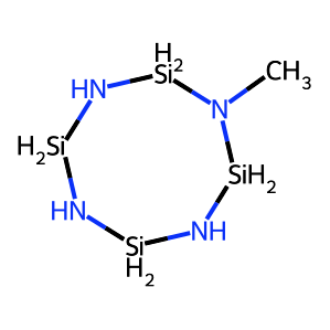 CN1[SiH2]N[SiH2]N[SiH2]N[SiH2]1